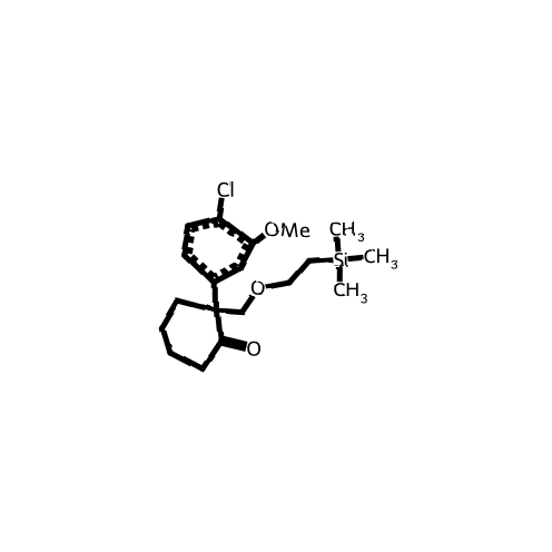 COc1cc(C2(COCC[Si](C)(C)C)CCCCC2=O)ccc1Cl